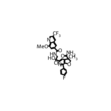 COc1cc(C(=O)NCC(O)(c2cc3c(c(-c4ccc(F)cc4)n2)OC[C@]3(C)C(N)=O)C(F)(F)F)cc2cc(C(F)(F)F)cnc12